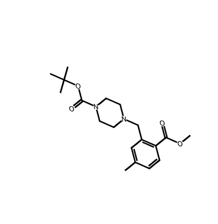 COC(=O)c1ccc(C)cc1CN1CCN(C(=O)OC(C)(C)C)CC1